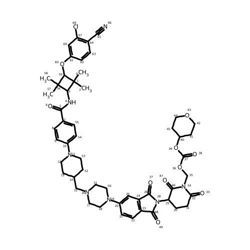 CC1(C)C(NC(=O)c2ccc(N3CCC(CN4CCN(c5ccc6c(c5)C(=O)N(C5CCC(=O)N(COC(=O)OC7CCOCC7)C5=O)C6=O)CC4)CC3)cc2)C(C)(C)C1Oc1ccc(C#N)c(Cl)c1